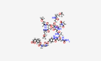 CC(C)C(NC(=O)C[C@H](NC(=O)CCN1C(=O)C=CC1=O)C(=O)NC(COCCC(=O)NC(C)(C)CCOC(C)(C)C)(COCCC(=O)NC(C)(C)CCOC(C)(C)C)COCCC(=O)NC(C)(C)CCOC(C)(C)C)C(=O)N[C@@H](CCCNC(N)=O)C(=O)Nc1ccc(COC(=O)N(C)CCN(C)C(=O)Oc2ccc3ccc(=O)oc3c2)cc1